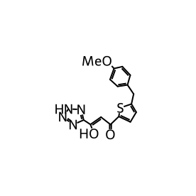 COc1ccc(Cc2ccc(C(=O)C=C(O)c3nn[nH]n3)s2)cc1